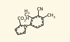 Cc1ccc(-n2cccc2C(=O)O)c(C)c1C#N